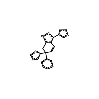 C1=CC(c2ccccc2)(c2cncs2)Cc2[nH]nc(-c3ccsc3)c21